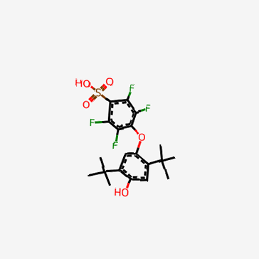 CC(C)(C)c1cc(Oc2c(F)c(F)c(S(=O)(=O)O)c(F)c2F)c(C(C)(C)C)cc1O